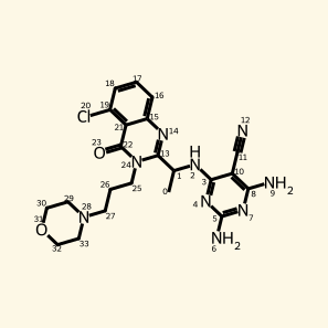 CC(Nc1nc(N)nc(N)c1C#N)c1nc2cccc(Cl)c2c(=O)n1CCCN1CCOCC1